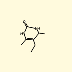 [CH2]CC1=C(C)NC(=O)NC1C